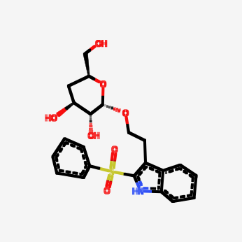 O=S(=O)(c1ccccc1)c1[nH]c2ccccc2c1CCO[C@H]1O[C@H](CO)C[C@H](O)[C@H]1O